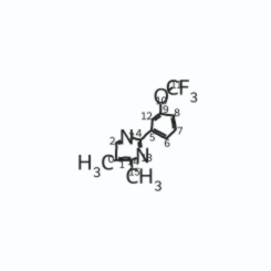 Cc1cnc(-c2cccc(OC(F)(F)F)c2)nc1C